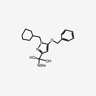 CNC(O)(O)c1cc(OCc2ccccc2)n(CC2CCCCC2)n1